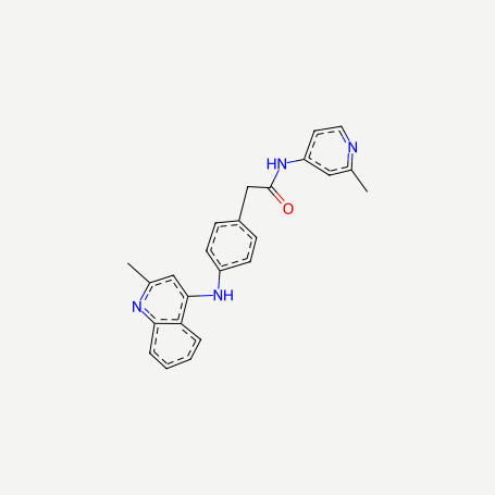 Cc1cc(NC(=O)Cc2ccc(Nc3cc(C)nc4ccccc34)cc2)ccn1